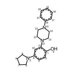 Oc1ccc(N2CCCC2)cc1N1CCN(c2ccccc2)CC1